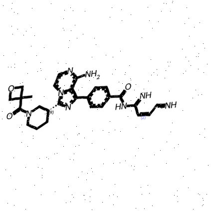 CC1(C(=O)N2CCC[C@@H](c3nc(-c4ccc(C(=O)NC(=N)/C=C\C=N)cc4)c4c(N)nccn34)C2)COC1